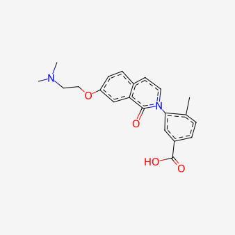 Cc1ccc(C(=O)O)cc1-n1ccc2ccc(OCCN(C)C)cc2c1=O